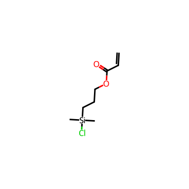 C=CC(=O)OCCC[Si](C)(C)Cl